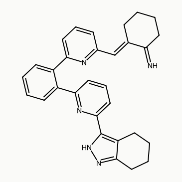 N=C1CCCC/C1=C\c1cccc(-c2ccccc2-c2cccc(-c3[nH]nc4c3CCCC4)n2)n1